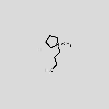 CCCC[N+]1(C)CCCC1.I